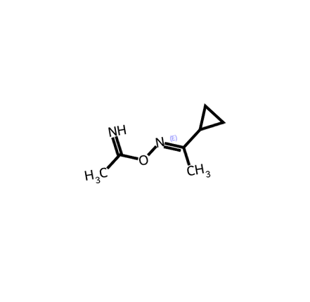 CC(=N)O/N=C(\C)C1CC1